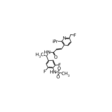 CC(C)c1nc(CF)ccc1/C=C/C(=O)N[C@H](C)c1cc(F)c(NS(C)(=O)=O)c(F)c1